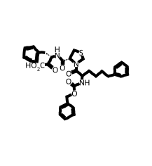 O=C(NC(CCCCc1ccccc1)C(=O)N1CSC[C@H]1C(=O)N[C@@H](Cc1ccccc1)C(=O)C(=O)O)OCc1ccccc1